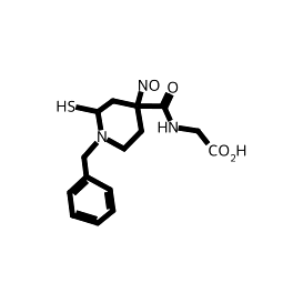 O=NC1(C(=O)NCC(=O)O)CCN(Cc2ccccc2)C(S)C1